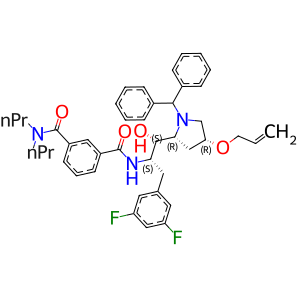 C=CCO[C@@H]1C[C@H]([C@@H](O)[C@H](Cc2cc(F)cc(F)c2)NC(=O)c2cccc(C(=O)N(CCC)CCC)c2)N(C(c2ccccc2)c2ccccc2)C1